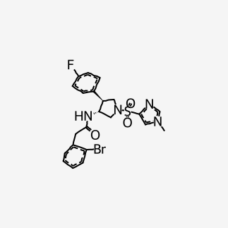 Cn1cnc(S(=O)(=O)N2C[C@H](NC(=O)Cc3ccccc3Br)[C@@H](c3ccc(F)cc3)C2)c1